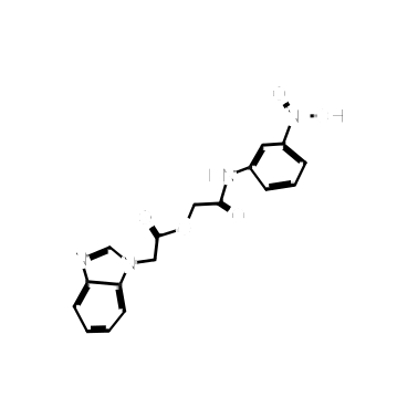 O=C(COC(=O)Cn1cnc2ccccc21)Nc1cccc([N+](=O)O)c1